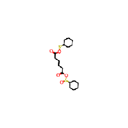 O=C(CCCCC(=O)OS(=O)C1CCCCC1)OSC1CCCCC1